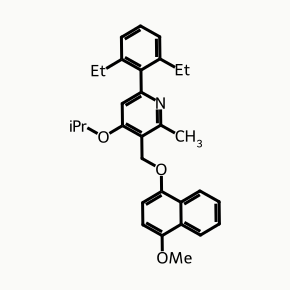 CCc1cccc(CC)c1-c1cc(OC(C)C)c(COc2ccc(OC)c3ccccc23)c(C)n1